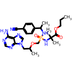 CCCOC(=O)C(C)(C)NP(=O)(COC(C)Cn1cnc2c(N)ncnc21)NC(C)c1ccc(C#N)cc1